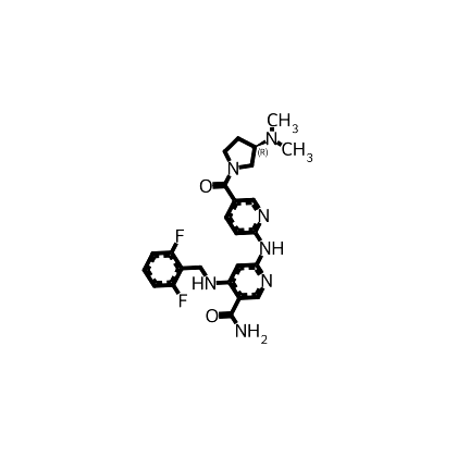 CN(C)[C@@H]1CCN(C(=O)c2ccc(Nc3cc(NCc4c(F)cccc4F)c(C(N)=O)cn3)nc2)C1